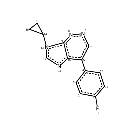 Fc1ccc(-c2cnnc3c2ncn3C2CC2)cc1